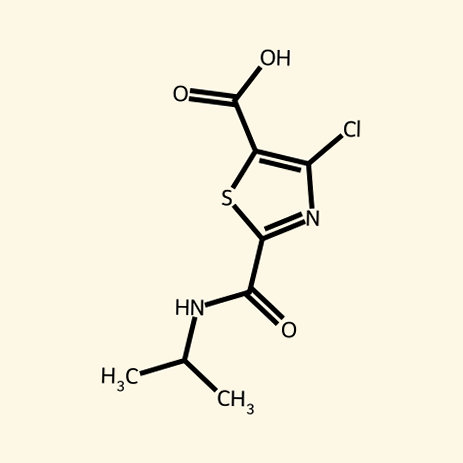 CC(C)NC(=O)c1nc(Cl)c(C(=O)O)s1